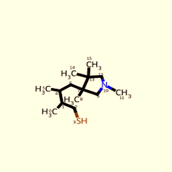 CC(CS)C(C)CC1(C)CN(C)CC1(C)C